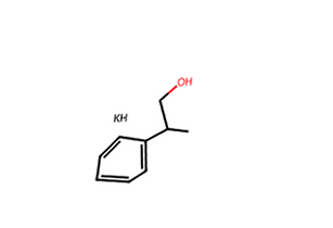 CC(CO)c1ccccc1.[KH]